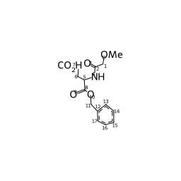 COCC(=O)NC(CC(=O)O)C(=O)OCc1ccccc1